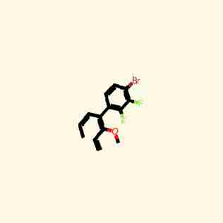 C=C/C(OC)=C(\C=C/C)c1ccc(Br)c(F)c1F